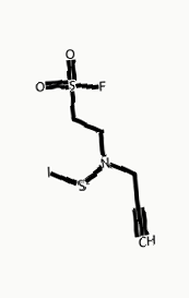 C#CCN(CCS(=O)(=O)F)SI